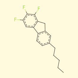 CCCCCc1ccc2c(c1)Cc1c-2cc(F)c(F)c1F